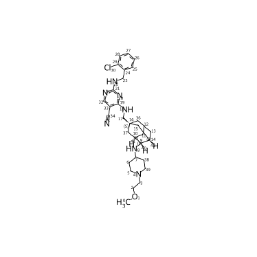 COCCN1CCC(N[C@@H]2[C@@H]3CC4C[C@H]2C[C@@](CNc2nc(NCc5ccccc5Cl)ncc2C#N)(C4)C3)CC1